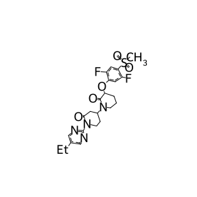 CCc1cnc(N2CCC(N3CCCC(Oc4cc(F)c(S(C)(=O)=O)cc4F)C3=O)CC2=O)nc1